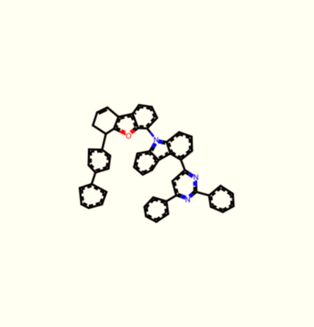 C1=Cc2c(oc3c(-n4c5ccccc5c5c(-c6cc(-c7ccccc7)nc(-c7ccccc7)n6)cccc54)cccc23)C(c2ccc(-c3ccccc3)cc2)C1